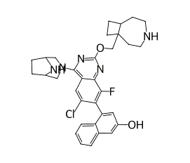 Oc1cc(-c2c(Cl)cc3c(N4CC5CCC(C4)N5)nc(OCC45CCNCCC4CC5)nc3c2F)c2ccccc2c1